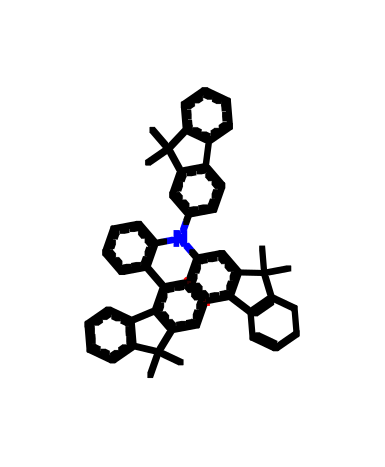 CC1(C)C2=C(C=CCC2)c2ccc(N(c3ccc4c(c3)C(C)(C)c3ccccc3-4)c3ccccc3-c3cccc4c3-c3ccccc3C4(C)C)cc21